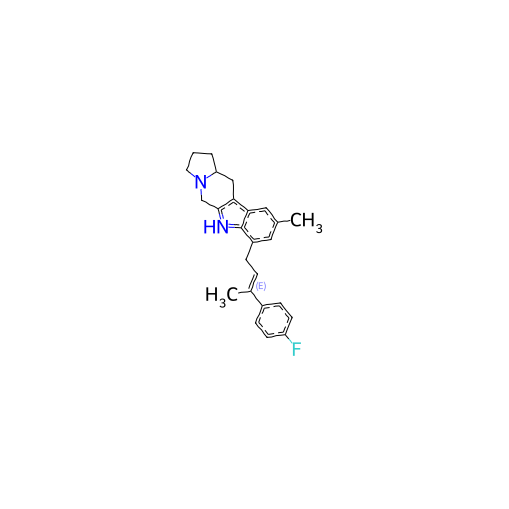 C/C(=C\Cc1cc(C)cc2c3c([nH]c12)CN1CCCC1C3)c1ccc(F)cc1